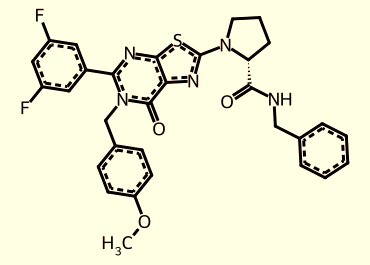 COc1ccc(Cn2c(-c3cc(F)cc(F)c3)nc3sc(N4CCC[C@@H]4C(=O)NCc4ccccc4)nc3c2=O)cc1